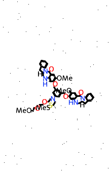 COCCOCCOCCN(C[C@H](C)SSC)c1cc(COc2cc3c(cc2OC)C(=O)N2c4ccccc4C[C@H]2CN3)cc(COc2cc3c(cc2OC)C(=O)N2c4ccccc4C[C@H]2CN3)c1